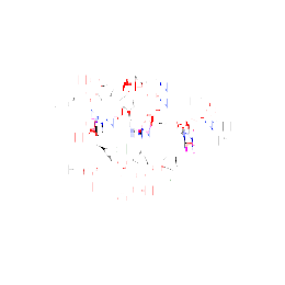 CCCCCCCCCNC(=O)NC(=O)C[C@@H]1CC(=O)[C@H](NC(=O)[C@@H](CC(C)C)N(C)C(=O)OC(C)(C)C)[C@H](O)c2ccc(c(Cl)c2)Oc2cc3cc(c2O[C@@H]2O[C@H](CCC(=O)OC(C)(C)C)[C@@H](O)[C@H](O)[C@H]2O)Oc2ccc(cc2Cl)[C@@H](O)[C@@H]2NC(=O)[C@H](CC(=O)[C@@H]3NC1=O)c1ccc(O)c(c1)-c1c(O)cc(O)cc1[C@@H](C(=O)CC1C3CC4CC(C3)CC1C4)NC2=O